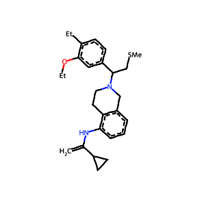 C=C(Nc1cccc2c1CCN(C(CSC)c1ccc(CC)c(OCC)c1)C2)C1CC1